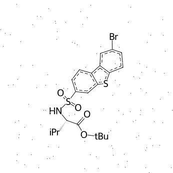 CC(C)[C@H](NS(=O)(=O)c1ccc2c(c1)sc1ccc(Br)cc12)C(=O)OC(C)(C)C